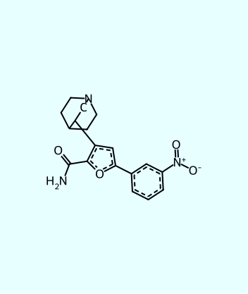 NC(=O)c1oc(-c2cccc([N+](=O)[O-])c2)cc1C1CN2CCC1CC2